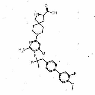 COc1ccc(-c2ccc([C@@H](Oc3cc(N4CCC5(CC4)CNC(C(=O)O)C5)nc(N)n3)C(F)(F)F)cc2)cc1F